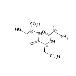 C[C@H](N)C(=O)N[C@@H](CC(=O)O)C(=O)N[C@H](CO)C(=O)O